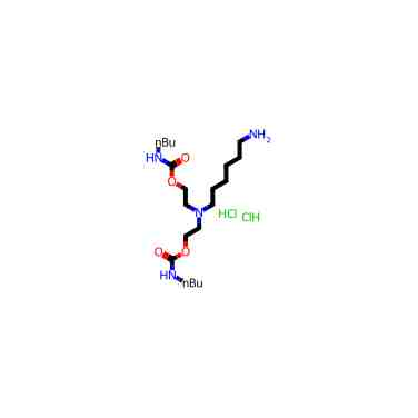 CCCCNC(=O)OCCN(CCCCCCN)CCOC(=O)NCCCC.Cl.Cl